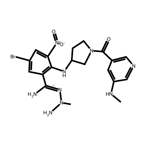 CNc1cncc(C(=O)N2CCC(Nc3c(/C(N)=N/N(C)N)cc(Br)cc3[N+](=O)[O-])C2)c1